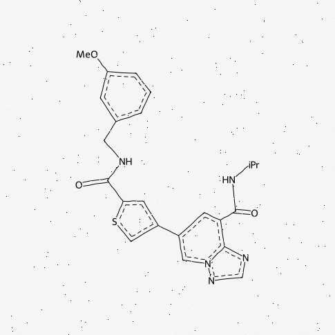 COc1cccc(CNC(=O)c2cc(-c3cc(C(=O)NC(C)C)c4ncnn4c3)cs2)c1